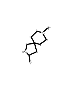 CCC1CC2(CCN(C(C)C)CC2)CO1